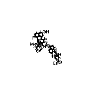 C#Cc1c(F)ccc2cc(O)cc(-c3nc(OC)c4c(N5CCOC[C@@](C)(O)C5)nc(OC[C@]56CCC[C@H]5N(CC5[C@H]7CN(C(=O)CC)C[C@@H]57)CCC6)nc4c3F)c12